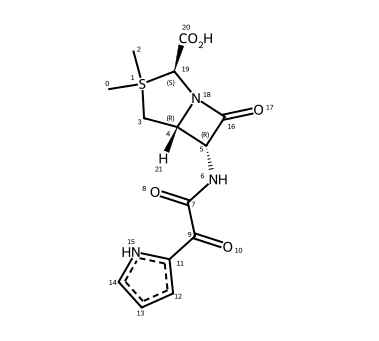 CS1(C)C[C@H]2[C@@H](NC(=O)C(=O)c3ccc[nH]3)C(=O)N2[C@@H]1C(=O)O